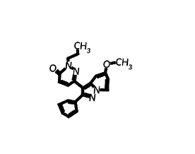 CCCn1nc(-c2c(-c3ccccc3)nn3ccc(OC)cc23)ccc1=O